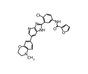 CN1CCOc2cc(-c3cnc4nc(-c5cc(NC(=O)c6ccco6)ccc5Cl)[nH]c4c3)ccc21